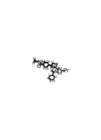 CC(C)CNc1nc(C2CC=CCC2)cn2c(-c3ccc(C(=O)NC4CC4)cc3)cnc12